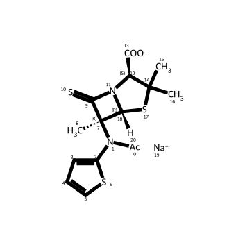 CC(=O)N(c1cccs1)[C@@]1(C)C(=S)N2[C@@H](C(=O)[O-])C(C)(C)S[C@@H]21.[Na+]